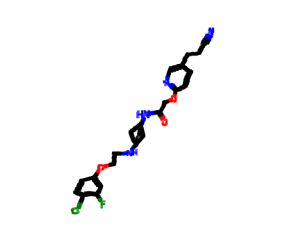 N#CCCc1ccc(OCC(=O)NC23CC(NCCOc4ccc(Cl)c(F)c4)(C2)C3)nc1